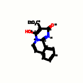 CCOC(=O)c1c(O)n2ccc3ccccc3c2nc1=O